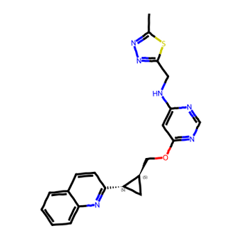 Cc1nnc(CNc2cc(OC[C@H]3C[C@@H]3c3ccc4ccccc4n3)ncn2)s1